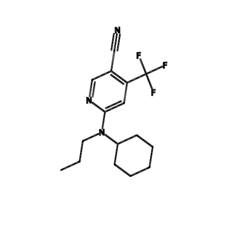 CCCN(c1cc(C(F)(F)F)c(C#N)cn1)C1CCCCC1